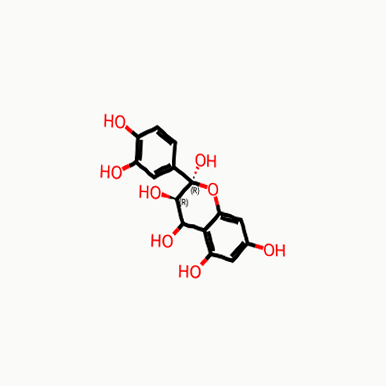 Oc1cc(O)c2c(c1)O[C@](O)(c1ccc(O)c(O)c1)[C@H](O)C2O